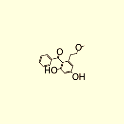 COCCc1cc(O)cc(O)c1C(=O)c1ccccc1